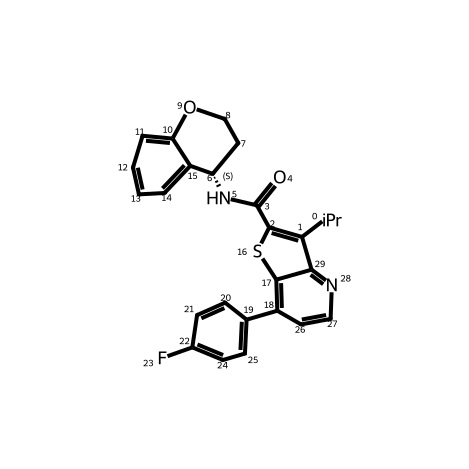 CC(C)c1c(C(=O)N[C@H]2CCOc3ccccc32)sc2c(-c3ccc(F)cc3)ccnc12